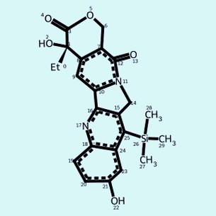 CC[C@@]1(O)C(=O)OCc2c1cc1n(c2=O)Cc2c-1nc1ccc(O)cc1c2[Si](C)(C)C